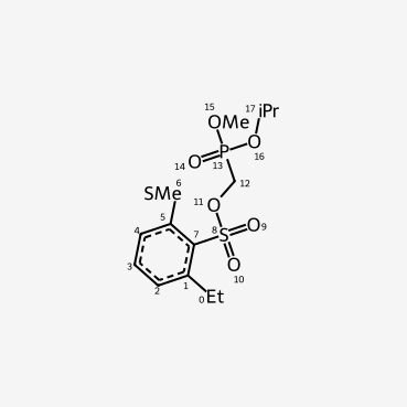 CCc1cccc(SC)c1S(=O)(=O)OCP(=O)(OC)OC(C)C